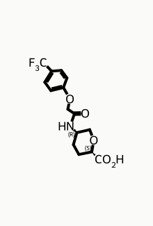 O=C(COc1ccc(C(F)(F)F)cc1)N[C@@H]1CC[C@@H](C(=O)O)OC1